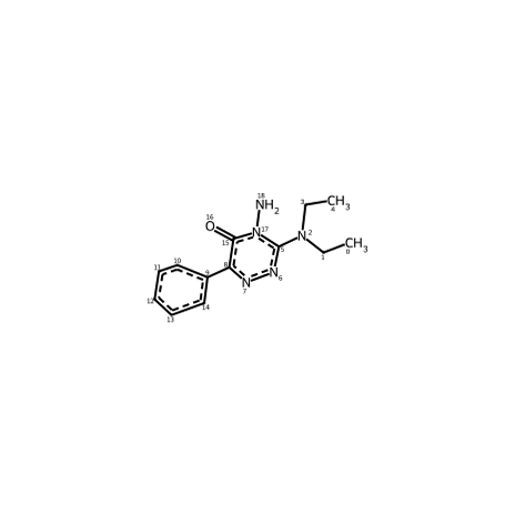 CCN(CC)c1nnc(-c2ccccc2)c(=O)n1N